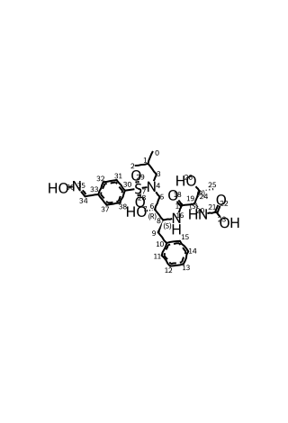 CC(C)CN(C[C@@H](O)[C@H](Cc1ccccc1)NC(=O)[C@@H](NC(=O)O)[C@@H](C)O)S(=O)(=O)c1ccc(C=NO)cc1